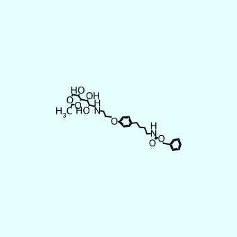 CC1OC[C@@H](O)[C@H]([C@H](O)[C@@H](O)CNCCCOc2ccc(CCCCNC(=O)OCc3ccccc3)cc2)O1